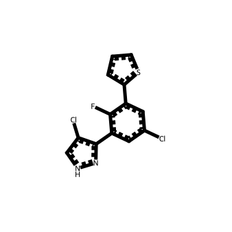 Fc1c(-c2cccs2)cc(Cl)cc1-c1n[nH]cc1Cl